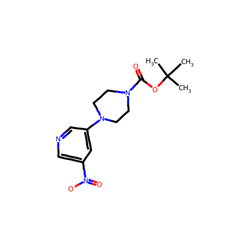 CC(C)(C)OC(=O)N1CCN(c2cncc([N+](=O)[O-])c2)CC1